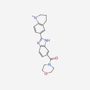 CN1CCCc2cc(-c3nc4ccc(C(=O)N5CCOCC5)cc4[nH]3)ccc21